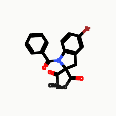 COC(=O)C1(C(=O)OC)Cc2cc(Br)ccc2N1C(=O)c1ccccc1